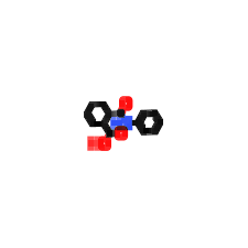 O=C(O)C1C=CCCC1C(=O)Nc1ccccc1